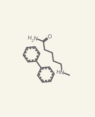 CNCCCCC(N)=O.c1ccc(-c2ccccc2)cc1